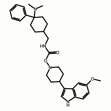 COc1ccc2[nH]cc(C3CCN(OC(=O)NCC4CCC(c5ccccc5)(N(C)C)CC4)CC3)c2c1